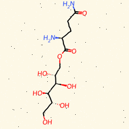 NC(=O)CC[C@H](N)C(=O)OC[C@@H](O)[C@@H](O)[C@H](O)[C@H](O)CO